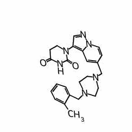 Cc1ccccc1CN1CCN(Cc2ccn3ncc(N4CCC(=O)NC4=O)c3c2)CC1